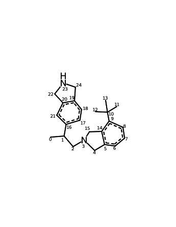 CC(CN1Cc2cccc(C(C)(C)C)c2C1)c1ccc2c(c1)CNC2